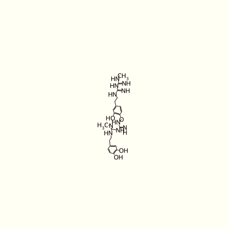 C/N=C(\NCCc1ccc(O)c(O)c1)NC(=N)NOc1ccc(CCNC(=N)NC(=N)NC)cc1O